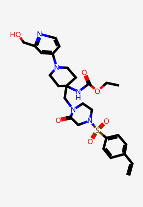 C=Cc1ccc(S(=O)(=O)N2CCN(CC3(NC(=O)OCC)CCN(c4ccnc(CO)c4)CC3)C(=O)C2)cc1